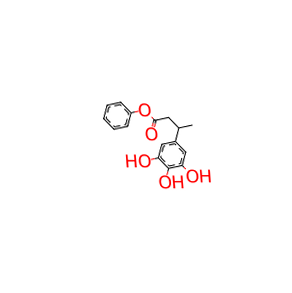 CC(CC(=O)Oc1ccccc1)c1cc(O)c(O)c(O)c1